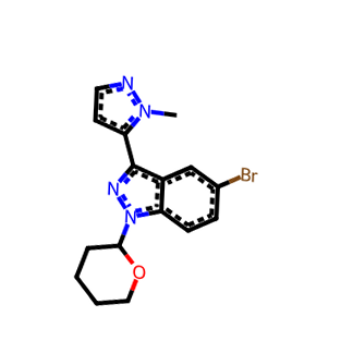 Cn1nccc1-c1nn(C2CCCCO2)c2ccc(Br)cc12